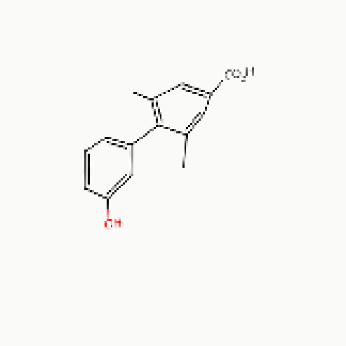 Cc1cc(C(=O)O)cc(C)c1-c1cccc(O)c1